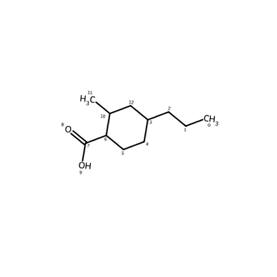 CCCC1CCC(C(=O)O)C(C)C1